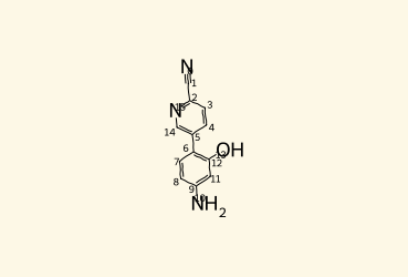 N#Cc1ccc(-c2ccc(N)cc2O)cn1